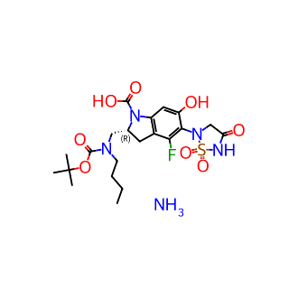 CCCCN(C[C@H]1Cc2c(cc(O)c(N3CC(=O)NS3(=O)=O)c2F)N1C(=O)O)C(=O)OC(C)(C)C.N